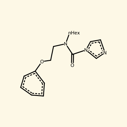 CCCCCCN(CCOc1ccccc1)C(=O)n1ccnc1